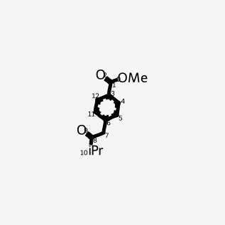 COC(=O)c1ccc(CC(=O)C(C)C)cc1